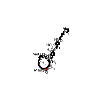 COc1cc2cc(c1Cl)N(C)C(=O)C[C@H](OC(=O)Cc1ccc(/C(C)=N/NC(=O)c3ccc(NC(=O)CCCCCN4C(=O)C=CC4=O)cc3S(=O)(=O)O)cc1F)[C@]1(C)O[C@H]1[C@H](C)[C@@H]1C[C@@](O)(NC(=O)O1)[C@H](OC)/C=C/C=C(\C)C2